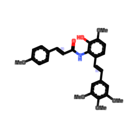 COc1ccc(/C=C/C(=O)Nc2c(/C=C/c3cc(OC)c(OC)c(OC)c3)ccc(OC)c2O)cc1